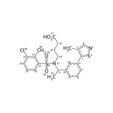 Cc1cnsc1-c1cccc(C(C)N(CCCC(=O)O)S(=O)(=O)c2cccc(Cl)c2C)c1